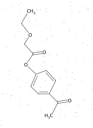 CCOCC(=O)Oc1ccc(C(C)=O)cc1